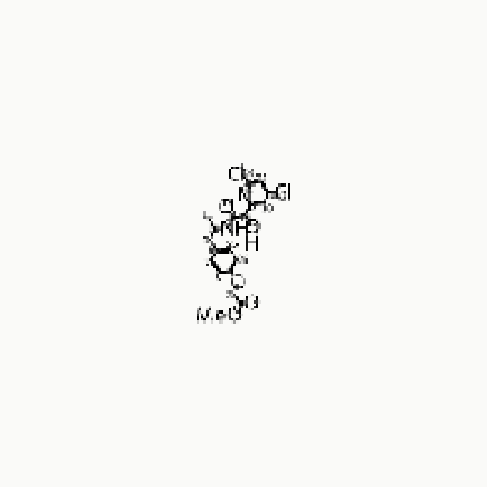 COC(=O)COc1ccc(CC(C)NC(=O)C(O)c2cc(Cl)cc(Cl)n2)cc1